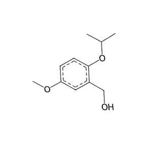 COc1ccc(OC(C)C)c(CO)c1